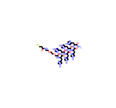 NC(=O)C(Cc1c[nH]cn1)NC(=O)C(Cc1c[nH]cn1)NC(=O)C(Cc1c[nH]cn1)NC(=O)C(Cc1c[nH]cn1)NC(=O)C(Cc1c[nH]cn1)NC(=O)C(Cc1c[nH]cn1)NC(=O)COCCOCCNC(=O)CCS